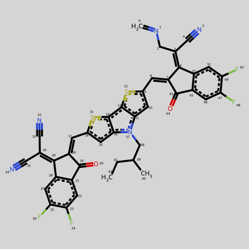 C=NC/C(C#N)=C1\C(=C\c2cc3c(s2)c2sc(/C=C4\C(=O)c5cc(F)c(F)cc5C4=C(C#N)C#N)cc2n3CC(C)CC)C(=O)c2cc(F)c(F)cc21